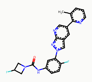 Cc1cccnc1-c1cnc2nn(-c3cc(NC(=O)N4CC(F)C4)ccc3F)cc2c1